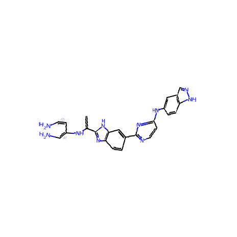 C=C(NC(/C=C\N)=C/N)c1nc2ccc(-c3nccc(Nc4ccc5[nH]ncc5c4)n3)cc2[nH]1